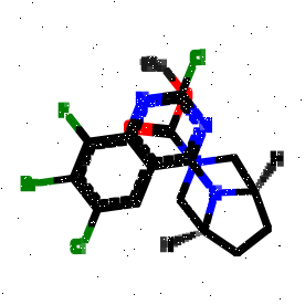 CC(C)(C)OC(=O)N1C[C@H]2CC[C@@H](C1)N2c1nc(Cl)nc2c(F)c(Br)c(Cl)cc12